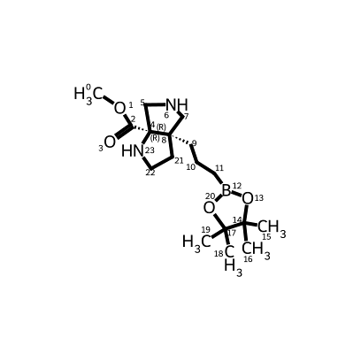 COC(=O)[C@]12CNC[C@@]1(CCCB1OC(C)(C)C(C)(C)O1)CCN2